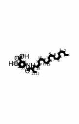 CC/C=C\C/C=C\C/C=C\C/C=C\C/C=C\C/C=C\CC(CC)C(=O)Nc1ccc(O)c(C(=O)O)c1